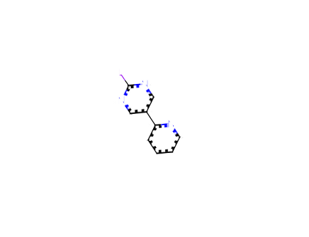 Ic1ncc(-c2ccccn2)cn1